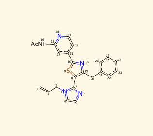 C=CCn1ccnc1-c1sc(-c2ccnc(NC(C)=O)c2)nc1Cc1ccccc1